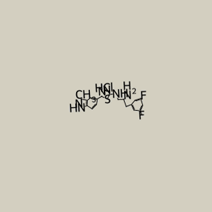 Cc1n[nH]c2ccc(-c3nnc(NC[C@@H](N)Cc4cc(F)cc(F)c4)s3)cc12.Cl